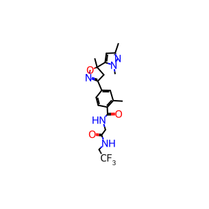 Cc1cc(C2(C)CC(c3ccc(C(=O)NCC(=O)NCC(F)(F)F)c(C)c3)=NO2)n(C)n1